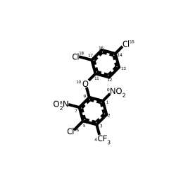 O=[N+]([O-])c1cc(C(F)(F)F)c(Cl)c([N+](=O)[O-])c1Oc1ccc(Cl)cc1Cl